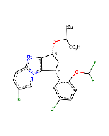 CC(C)(C)C(O[C@@H]1C[C@H](c2cc(Cl)ccc2OC(F)F)c2c1nc1ccc(Br)cn21)C(=O)O